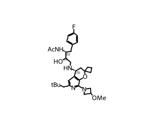 COC1CN(c2nc(CC(C)(C)C)cc3c2OC2(CCC2)C[C@@H]3NC[C@@H](O)[C@H](Cc2ccc(F)cc2)NC(C)=O)C1